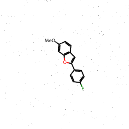 COc1ccc2cc(-c3ccc(F)cc3)oc2c1